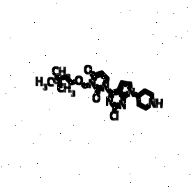 C[Si](C)(C)CCOCn1c(=O)ccn(-c2nc(Cl)nc3c2ccn3C2CCNCC2)c1=O